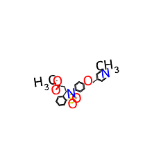 COC(=O)CC1c2ccccc2S(=O)(=O)N1c1ccc(OCc2ccnc(C)c2)cc1